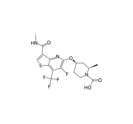 CNC(=O)c1csc2c(C(F)(F)F)c(F)c(O[C@@H]3CCN(C(=O)O)[C@H](C)C3)nc12